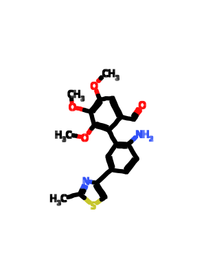 COc1cc(C=O)c(-c2cc(-c3csc(C)n3)ccc2N)c(OC)c1OC